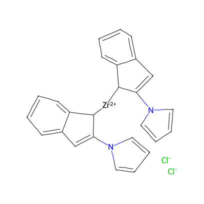 C1=C(n2cccc2)[CH]([Zr+2][CH]2C(n3cccc3)=Cc3ccccc32)c2ccccc21.[Cl-].[Cl-]